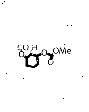 COC(=O)OC1CCCC(OC(=O)O)C1